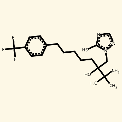 CC(C)(C)C(O)(CCCCCc1ccc(C(F)(F)F)cc1)Cn1ncnc1S